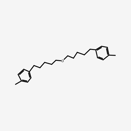 Cc1ccc(CCCCCOCCCCCc2ccc(C)cc2)cc1